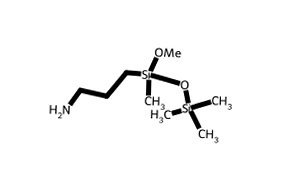 CO[Si](C)(CCCN)O[Si](C)(C)C